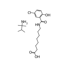 CC(C)C(C)(C)N.O=C(O)CCCCCCCNC(=O)c1cc(Cl)ccc1O